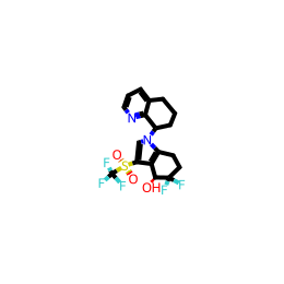 O=S(=O)(c1cn(C2CCCc3cccnc32)c2c1[C@H](O)C(F)(F)CC2)C(F)(F)F